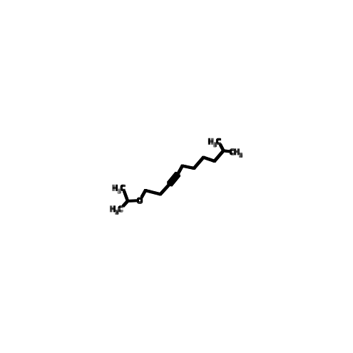 CC(C)CCCCC#CCCOC(C)C